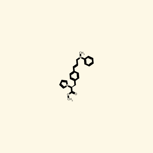 COC(=O)[C@H](Cc1ccc(C=CCN(C)c2ccccc2)cc1)n1cccc1